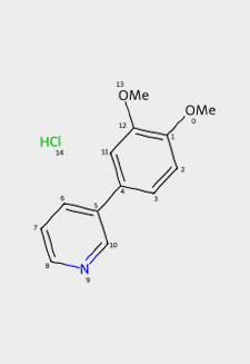 COc1ccc(-c2cccnc2)cc1OC.Cl